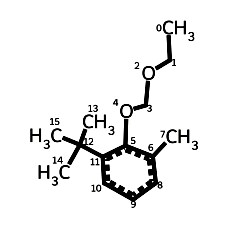 CCOCOc1c(C)cccc1C(C)(C)C